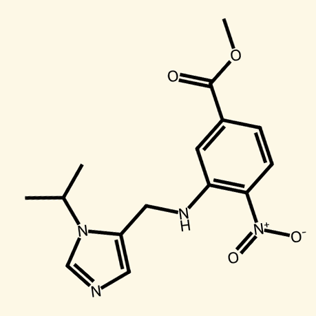 COC(=O)c1ccc([N+](=O)[O-])c(NCc2cncn2C(C)C)c1